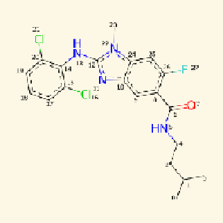 CC(C)CCNC(=O)c1cc2nc(Nc3c(Cl)cccc3Cl)n(C)c2cc1F